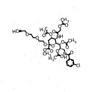 C#CCOCCOCCO[C@]1(C(=O)OC)C[C@H](OC(C)=O)[C@@H](NC(=O)COC(C)=O)[C@H]([C@H](OC(C)=O)[C@@H](CNC(=O)c2cccc(Cl)c2)OC(C)=O)O1